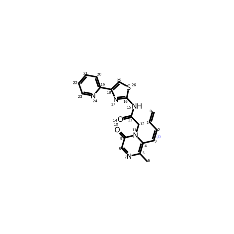 C=C/C=C\c1c(C)ncc(=O)n1CC(=O)Nc1nc(-c2ccccn2)cs1